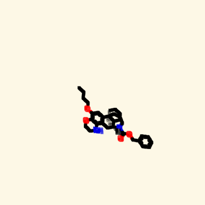 CCCCOc1cc2c(c3c1OCCN3)C[C@H]1C3CCCC[C@@]23CCCN1C(=O)OCc1ccccc1